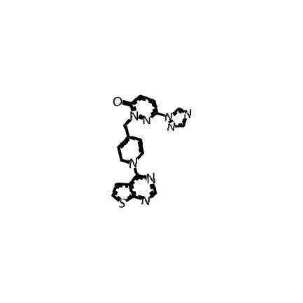 O=c1ccc(-n2cncn2)nn1CC1=CCN(c2ncnc3sccc23)C=C1